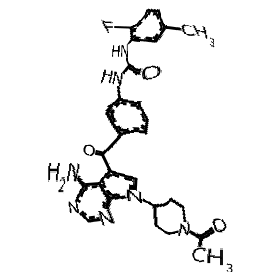 CC(=O)N1CCC(n2cc(C(=O)c3cccc(NC(=O)Nc4cc(C)ccc4F)c3)c3c(N)ncnc32)CC1